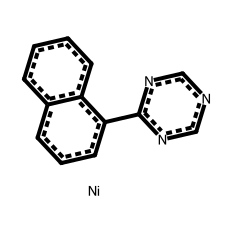 [Ni].c1ccc2c(-c3ncncn3)cccc2c1